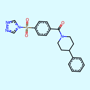 O=C(c1ccc(S(=O)(=O)n2cnnc2)cc1)N1CCC(c2ccccc2)CC1